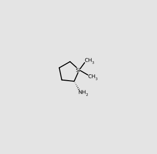 C[Si]1(C)CCC[C@H]1N